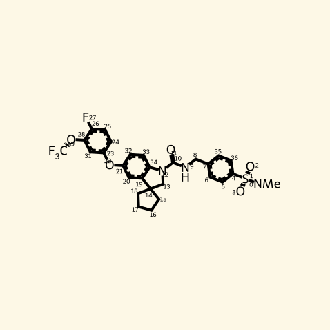 CNS(=O)(=O)c1ccc(CNC(=O)N2CC3(CCCC3)c3cc(Oc4ccc(F)c(OC(F)(F)F)c4)ccc32)cc1